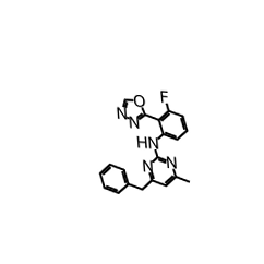 Cc1cc(Cc2ccccc2)nc(Nc2cccc(F)c2-c2nnco2)n1